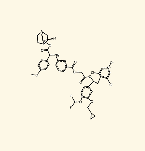 COc1ccc(C(Nc2cccc(C(=O)OCC(=O)O[C@@H](Cc3c(Cl)c[n+]([O-])cc3Cl)c3ccc(OC(F)F)c(OCC4CC4)c3)c2)C(=O)O[C@H]2CN3CCC2CC3)cc1